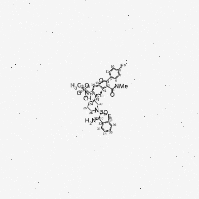 CNC(=O)c1c(-c2ccc(F)cc2)oc2cc(N(C)S(C)(=O)=O)c(C3CCCN(C(=O)[C@H](N)c4ccccc4F)C3)cc12